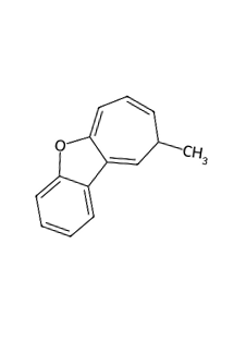 CC1C=CC=c2oc3ccccc3c2=C1